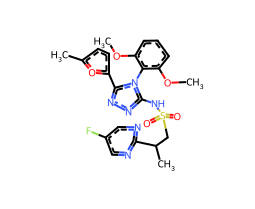 COc1cccc(OC)c1-n1c(NS(=O)(=O)CC(C)c2ncc(F)cn2)nnc1-c1ccc(C)o1